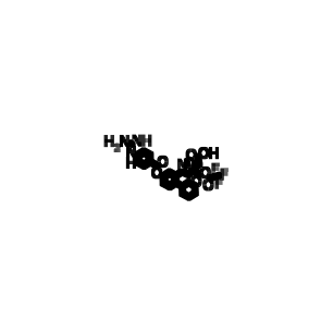 N=C(N)Nc1ccc(C(=O)Oc2ccc(C3CCCCC3)c(C3=NOC(CC(=O)O)(C(=O)OC(=O)C(F)(F)F)C3)c2)cc1